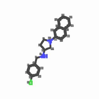 Clc1ccc(CNC2CCN(c3ccc4ccccc4c3)C2)cc1